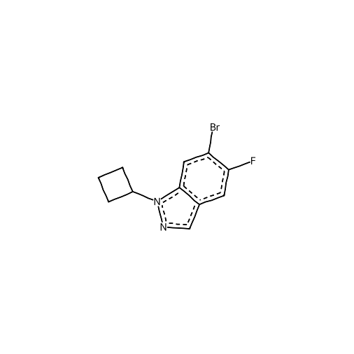 Fc1cc2cnn(C3CCC3)c2cc1Br